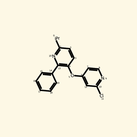 CC(C)c1ccc(Oc2ccnc(Cl)c2)c(-c2ccccc2)n1